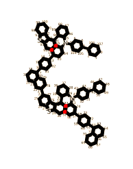 c1ccc(-c2ccc(N(c3ccc(-c4ccc(-c5cccc6cc(-c7ccc8sc9cccc(-c%10ccccc%10N(c%10ccc(-c%11ccccc%11)cc%10)c%10cccc(-c%11ccc(-c%12cccc%13ccccc%12%13)cc%11)c%10)c9c8c7)ccc56)cc4)cc3)c3ccccc3-c3cccc4sc5ccccc5c34)cc2)cc1